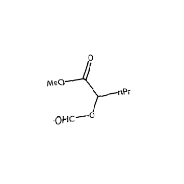 CCCC(O[C]=O)C(=O)OC